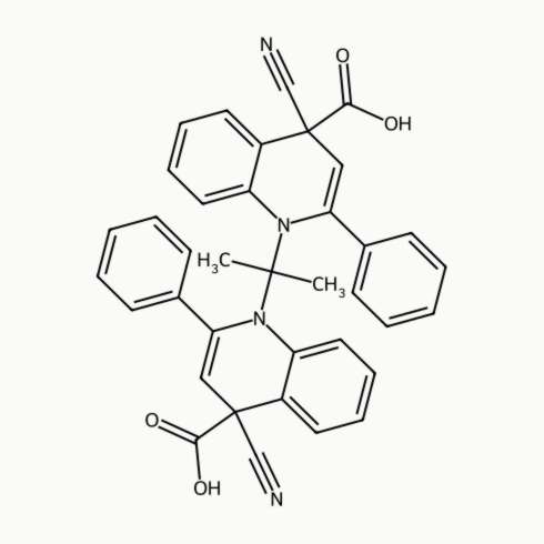 CC(C)(N1C(c2ccccc2)=CC(C#N)(C(=O)O)c2ccccc21)N1C(c2ccccc2)=CC(C#N)(C(=O)O)c2ccccc21